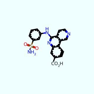 NS(=O)(=O)c1cccc(Nc2nc3cc(C(=O)O)c#cc3c3cnccc23)c1